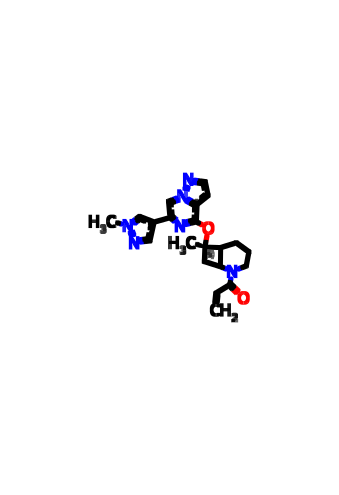 C=CC(=O)N1CCCC2C1C[C@]2(C)Oc1nc(-c2cnn(C)c2)cn2nccc12